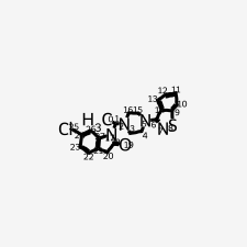 CC(N1CCN(c2nsc3ccccc23)CC1)N1C(=O)Cc2ccc(Cl)cc21